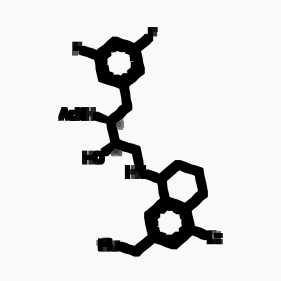 CCc1cc(CC(C)(C)C)cc2c1CCCC2NC[C@@H](O)[C@H](Cc1cc(F)cc(F)c1)NC(C)=O